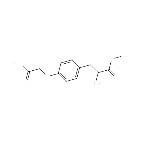 COC(=O)COc1ccc(CC(N)C(=O)OC(C)(C)C)cc1